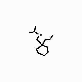 COCC1(CNC(C)C)CCCCC1